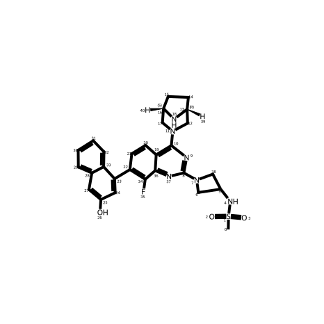 CS(=O)(=O)NC1CN(c2nc(N3C[C@H]4CC[C@@H](C3)N4)c3ccc(-c4cc(O)cc5ccccc45)c(F)c3n2)C1